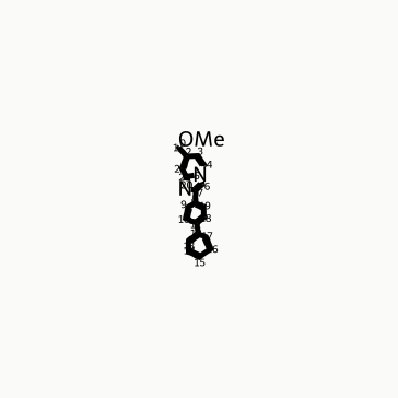 COCc1ccn2cc(-c3ccc(-c4ccccc4)cc3)nc2c1